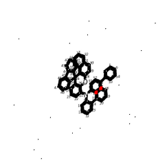 c1ccc(-c2ccc(N(c3ccccc3-c3ccccc3)c3cccc4c3Oc3ccc5ccccc5c3C43c4ccccc4-c4ccccc43)cc2)cc1